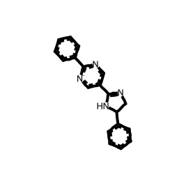 c1ccc(-c2ncc(C3=NCC(c4ccccc4)N3)cn2)cc1